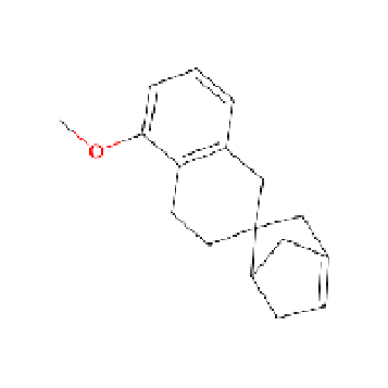 COc1cccc2c1CCC1(CC3=CCC1C3)C2